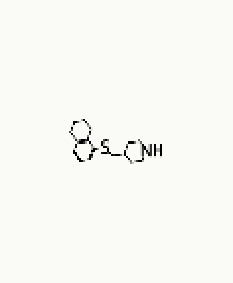 c1cc2c(c(SCC3CCNCC3)c1)CCCC2